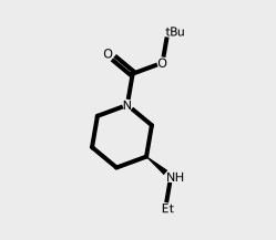 CCN[C@H]1CCCN(C(=O)OC(C)(C)C)C1